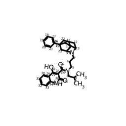 CC(C)CN(CCCN1C2CC3CC1CC(c1ccccc1)(C3)C2)C(=O)c1c(O)c2ccccc2[nH]c1=O